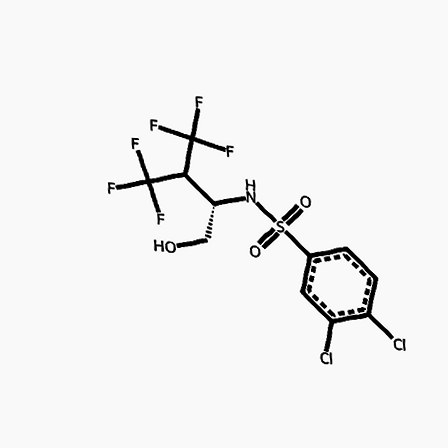 O=S(=O)(N[C@H](CO)C(C(F)(F)F)C(F)(F)F)c1ccc(Cl)c(Cl)c1